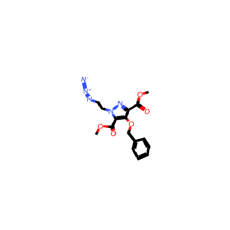 COC(=O)c1nn(CCN=[N+]=[N-])c(C(=O)OC)c1OCc1ccccc1